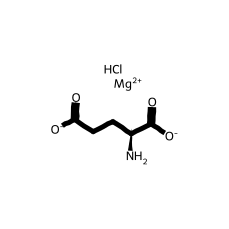 Cl.N[C@@H](CCC(=O)[O-])C(=O)[O-].[Mg+2]